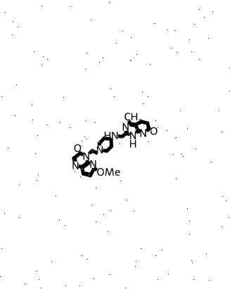 COc1ccc2ncc(=O)n(CCN3CCC(NCC4=NC(C)=C5CCC(=O)N=C5N4)CC3)c2n1